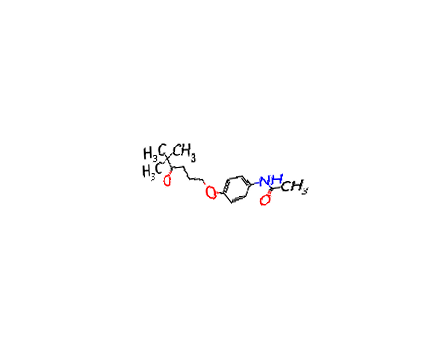 CC(=O)Nc1ccc(OCCCC(=O)C(C)(C)C)cc1